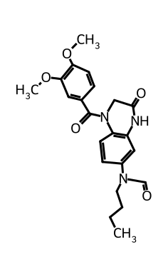 CCCCN(C=O)c1ccc2c(c1)NC(=O)CN2C(=O)c1ccc(OC)c(OC)c1